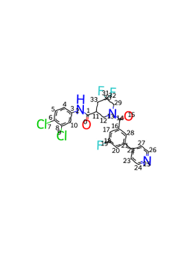 O=C(Nc1ccc(Cl)c(Cl)c1)C1CN(C(=O)c2cc(F)cc(-c3ccncc3)c2)CC(F)(F)C1